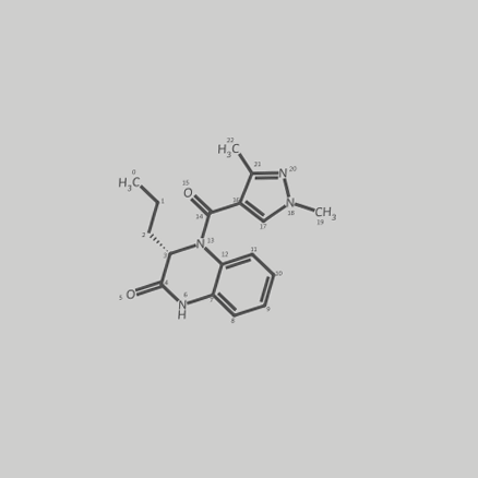 CCC[C@H]1C(=O)Nc2ccccc2N1C(=O)c1cn(C)nc1C